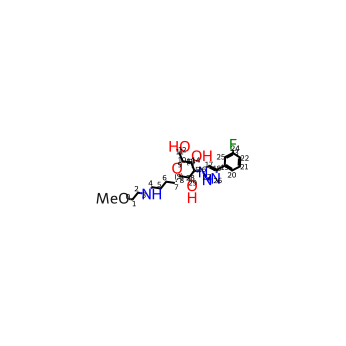 COCCNCCCC[C@@H]1OC(CO)[C@H](O)C(n2cc(-c3cccc(F)c3)nn2)C1O